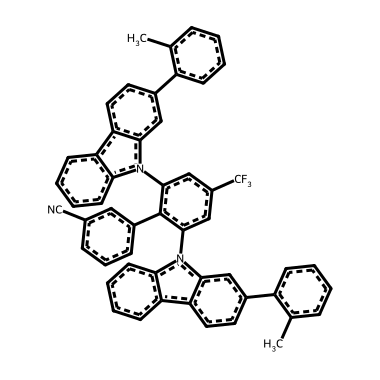 Cc1ccccc1-c1ccc2c3ccccc3n(-c3cc(C(F)(F)F)cc(-n4c5ccccc5c5ccc(-c6ccccc6C)cc54)c3-c3cccc(C#N)c3)c2c1